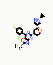 Cc1nc2nc([C@H]3CCO[C@@H](c4cnn(C5CC5)c4)C3)nc(-c3ccc(F)cc3F)c2o1